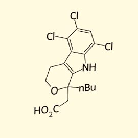 CCCCC1(CC(=O)O)OCCc2c1[nH]c1c(Cl)cc(Cl)c(Cl)c21